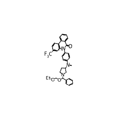 CCOCOC(c1ccccc1)N1CCC(N(C)c2ccc(NC(=O)c3ccccc3-c3ccc(C(F)(F)F)cc3)cc2)C1